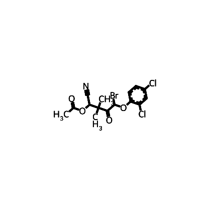 CC(=O)OC(C#N)C(C)(C)C(=O)C(Br)Oc1ccc(Cl)cc1Cl